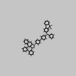 CC1(C)c2ccccc2-c2ccc(N(c3ccccc3)c3ccc(-c4ccc(N5CC6c7ccccc7-c7ccccc7-c7c6c5cc5ccccc75)cc4)cc3)cc21